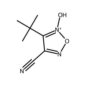 CC(C)(C)c1c(C#N)no[n+]1O